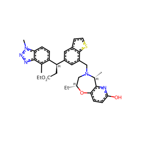 CCOC(=O)C[C@H](c1cc(CN2C[C@@H](CC)Oc3ccc(O)nc3[C@H]2C)c2sccc2c1)c1ccc2c(nnn2C)c1C